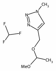 COC(C)OCc1cn(C)nn1.FC(F)F